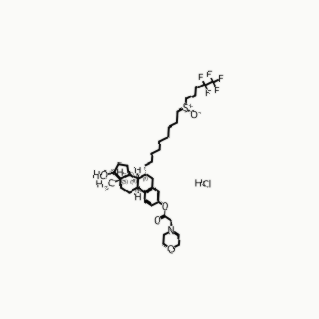 C[C@]12CC[C@@H]3c4ccc(OC(=O)CN5CCOCC5)cc4C[C@@H](CCCCCCCCC[S+]([O-])CCCC(F)(F)C(F)(F)F)[C@H]3[C@@H]1CC[C@@H]2O.Cl